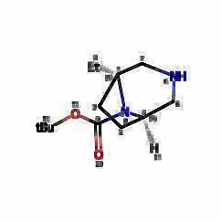 CC[C@]12CC[C@H](CNC1)N2C(=O)OC(C)(C)C